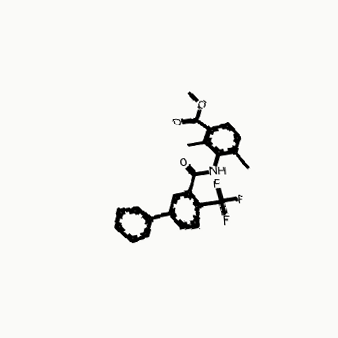 COC(=O)c1ccc(C)c(NC(=O)c2cc(-c3ccccc3)ccc2C(F)(F)F)c1C